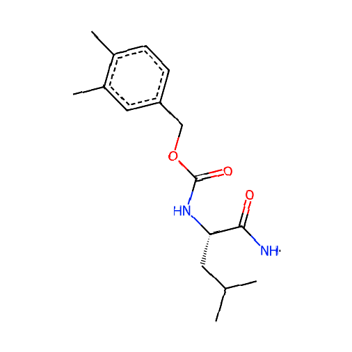 Cc1ccc(COC(=O)N[C@@H](CC(C)C)C([NH])=O)cc1C